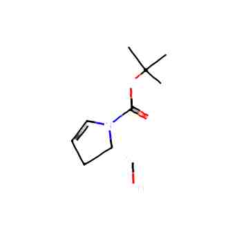 CC(C)(C)OC(=O)N1C=CC[C@H]1CO